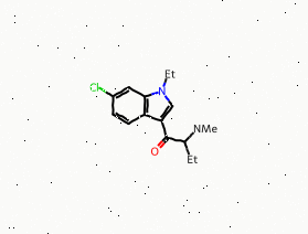 CCC(NC)C(=O)c1cn(CC)c2cc(Cl)ccc12